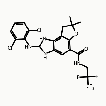 CC1(C)Cc2c3c(cc(C(=O)NCC(F)(F)C(F)(F)F)c2O1)NC(Nc1c(Cl)cccc1Cl)N3